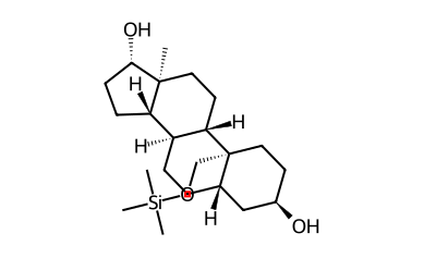 C[C@]12CC[C@H]3[C@@H](CC[C@H]4C[C@H](O)CC[C@@]43CO[Si](C)(C)C)[C@@H]1CC[C@@H]2O